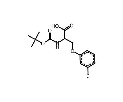 CC(C)(C)OC(=O)NC(COc1cccc(Cl)c1)C(=O)O